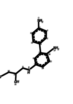 Nc1ccc(-c2cc(NCC(O)CO)ccc2N)cc1